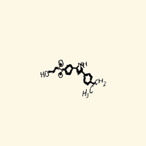 C=C(C)c1ccc(-c2cc(-c3ccc(S(=O)(=O)CCCO)cc3)[nH]n2)cc1